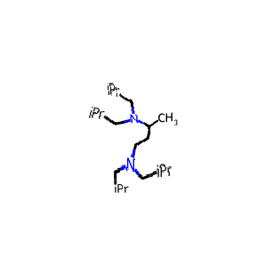 CC(C)CN(CCC(C)N(CC(C)C)CC(C)C)CC(C)C